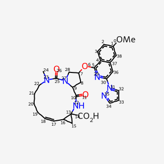 COc1ccc2c(OC3CC4C(=O)NC5(C(=O)O)CC5C=CCCCCN(C)C(=O)N4C3)nc(-n3cccn3)cc2c1